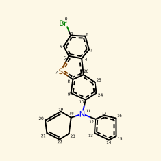 Brc1ccc2c(c1)sc1cc(N(c3ccccc3)C3C=CC=CC3)ccc12